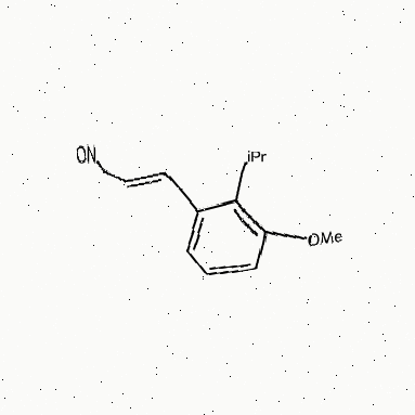 COc1cccc(/C=C/N=O)c1C(C)C